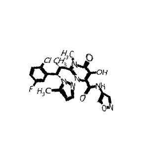 Cc1ccnn1[C@H](c1cc(F)ccc1Cl)[C@H](C)c1nc(C(=O)Nc2cnoc2)c(O)c(=O)n1C